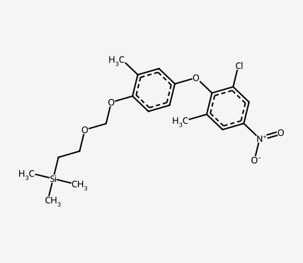 Cc1cc(Oc2c(C)cc([N+](=O)[O-])cc2Cl)ccc1OCOCC[Si](C)(C)C